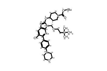 CC(C)(C)OC(=O)N1CCC(Oc2nc3cc(Cl)c(-c4ccc(N5CCOCC5)cc4)nc3n2COCC[Si](C)(C)C)CC1